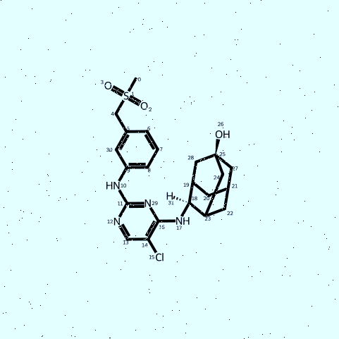 CS(=O)(=O)Cc1cccc(Nc2ncc(Cl)c(N[C@H]3C4CC5CC3C[C@@](O)(C5)C4)n2)c1